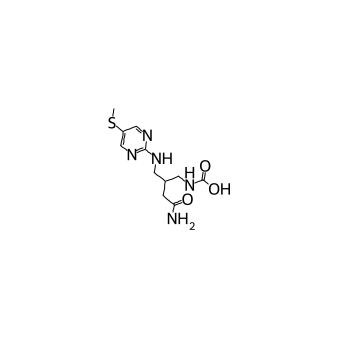 CSc1cnc(NCC(CNC(=O)O)CC(N)=O)nc1